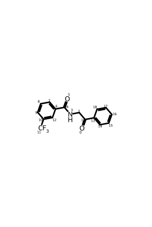 O=C(CNC(=O)c1cccc(C(F)(F)F)c1)c1ccccc1